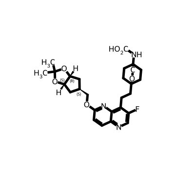 CC1(C)O[C@H]2C[C@H](COc3ccc4ncc(F)c(CCC56CCC(NC(=O)O)(CC5)CO6)c4n3)C[C@H]2O1